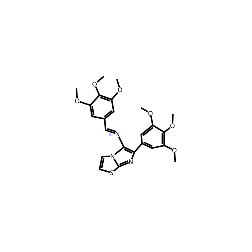 COc1cc(/C=N/c2c(-c3cc(OC)c(OC)c(OC)c3)nc3sccn23)cc(OC)c1OC